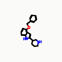 c1ccc(COc2cccc3[nH]c(C4CCCNC4)cc23)cc1